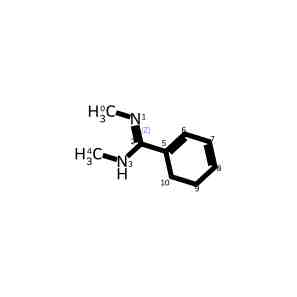 C/N=C(\NC)C1=CC=CCC1